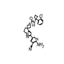 N#Cc1cc(-c2cc3n(n2)CCC32CN(C(=O)NC3(c4ccccc4Cl)CCC3)C2)cnc1N